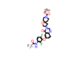 CC(C)(C)OC(=O)N1CCC2(CC1)CC(n1cnc3ccc(Oc4c(F)ccc(NC(=O)C(F)(F)F)c4F)cc3c1=O)CO2